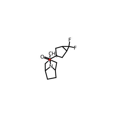 CN1CC2CCC(C1)N2C(=O)C1CC2C(C1)C2(F)F